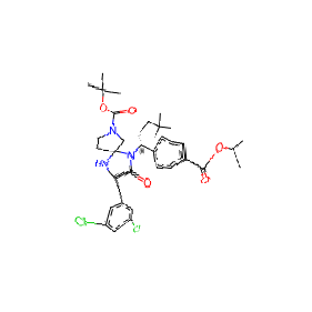 CC(C)OC(=O)c1ccc([C@@H](CCC(C)(C)C)N2C(=O)C(c3cc(Cl)cc(Cl)c3)NC23CCN(C(=O)OC(C)(C)C)C3)cc1